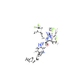 CC(F)(F)c1nn(CC2CC(F)(F)C2)c(C(=O)Nc2ccc(C(=O)O)nc2)c1C(F)(F)F